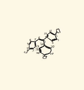 Clc1ccc(C(=Cc2ccc(I)cc2)c2ccc(Cl)cc2)cc1